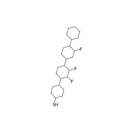 FC1CC(C2CCC(C3CCC(S)CC3)C(F)C2F)CCC1C1CCCCC1